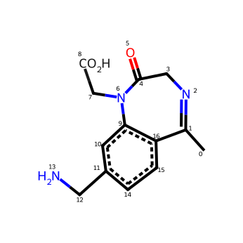 CC1=NCC(=O)N(CC(=O)O)c2cc(CN)ccc21